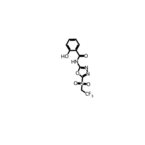 O=C(Nc1nnc(S(=O)(=O)CC(F)(F)F)o1)c1ccccc1O